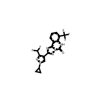 O=c1[nH]c2c(C(F)(F)F)cccc2c2nc(-c3cn(C4CC4)nc3C(F)F)nn12